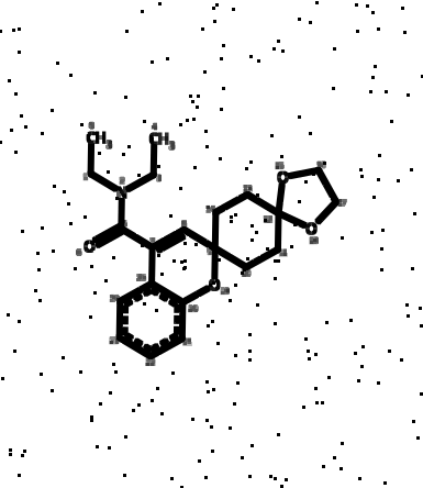 CCN(CC)C(=O)C1=CC2(CCC3(CC2)OCCO3)Oc2ccccc21